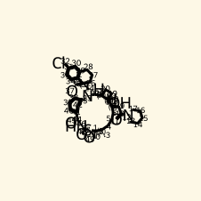 C[C@@H]1[C@@H](C)CCC[C@](O)(CC(=O)N2CCCCC2)[C@@H]2CC[C@H]2CN2C[C@@]3(CCCc4cc(Cl)ccc43)COc3ccc(cc32)C(=O)NS1(=O)=O